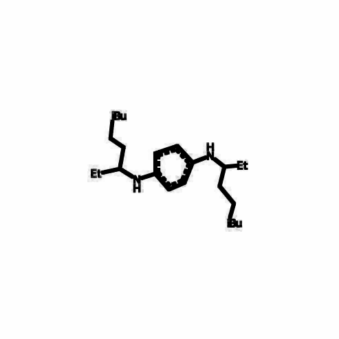 CCC(C)CCC(CC)Nc1ccc(NC(CC)CCC(C)CC)cc1